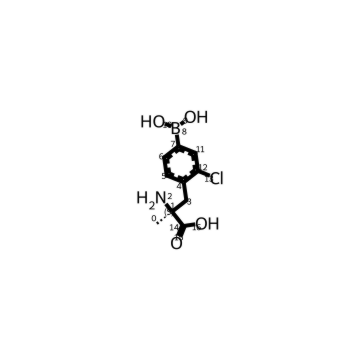 C[C@](N)(Cc1ccc(B(O)O)cc1Cl)C(=O)O